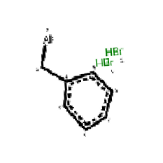 Br.Br.[Al][CH2]c1ccccc1